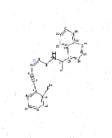 CC(NC/C=C\C#Cc1ccccc1F)c1cccc2ccccc12